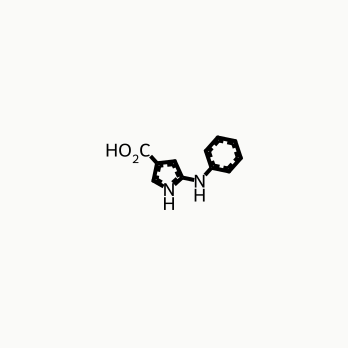 O=C(O)c1c[nH]c(Nc2ccccc2)c1